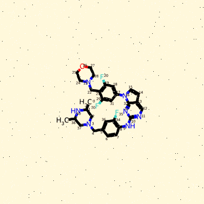 CC1CN(Cc2ccc(Nc3ncc4ccn(-c5cc(F)c(CN6CCOCC6)c(F)c5)c4n3)c(F)c2)CC(C)N1